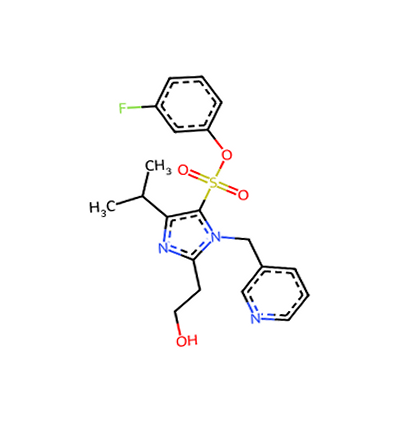 CC(C)c1nc(CCO)n(Cc2cccnc2)c1S(=O)(=O)Oc1cccc(F)c1